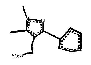 COCc1c(-c2ccccc2)nn(C)c1C